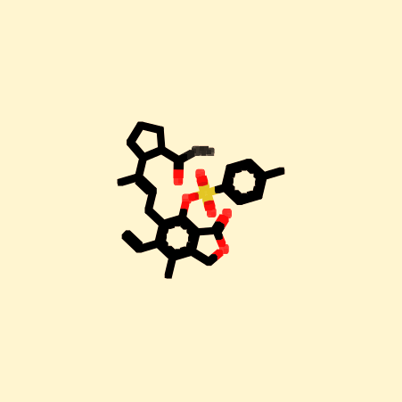 C=Cc1c(C)c2c(c(OS(=O)(=O)c3ccc(C)cc3)c1C/C=C(\C)C1CCCC1C(=O)OC)C(=O)OC2